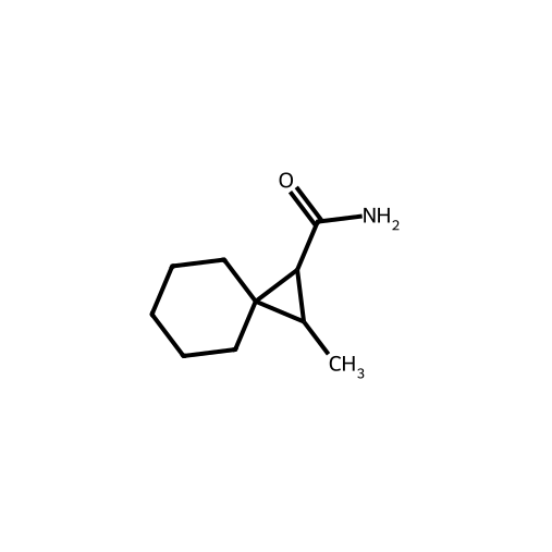 CC1C(C(N)=O)C12CCCCC2